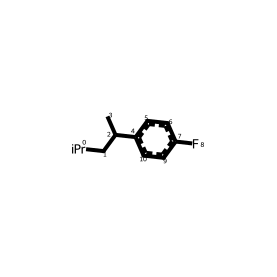 CC(C)CC(C)c1ccc(F)cc1